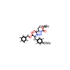 COCC(NC(=O)OC(C)(C)C)C(=O)NC(Cc1ccc(OC)cc1)C(=O)OCc1ccccc1